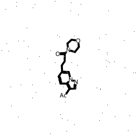 CC(=O)c1cnn2cc(CCC(=O)N3CCOCC3)ccc12